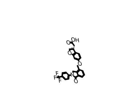 O=C(O)C[C@H]1COc2cc(OCc3cccc4c3CN(c3ccc(C(F)(F)F)cc3)C4=O)ccc21